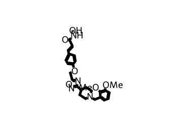 COc1cccc(CN2CCC(c3noc(COc4ccc(C=CC(=O)NO)cc4)n3)CC2)c1OC